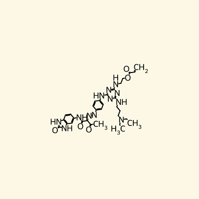 C=CC(=O)OCCNc1nc(NCCCN(CC)CC)nc(Nc2ccc(/N=N/C(C(C)=O)C(=O)Nc3ccc4[nH]c(=O)[nH]c4c3)cc2)n1